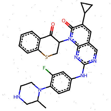 CC1CNCCN1c1ccc(Nc2ncc3cc(C4CC4)c(=O)n(C4CSc5ccccc5C4=O)c3n2)cc1F